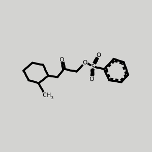 CC1CCCCC1CC(=O)COS(=O)(=O)c1ccccc1